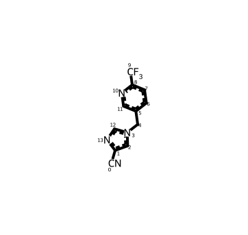 N#Cc1cn(Cc2ccc(C(F)(F)F)nc2)cn1